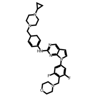 Fc1cc(-n2ccc3cnc(NC4=CCC(CN5CCN(C6CC6)CC5)C=C4)nc32)cc(F)c1CN1CCOCC1